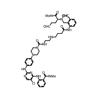 CNC(=O)c1ccccc1Nc1nc(Nc2ccc(N3CCN(C(=O)NCCNCCCC(=O)Nc4cccc(C=O)c4CN(C)C(CCC=O)C(=O)NC)CC3)cc2)ncc1Cl